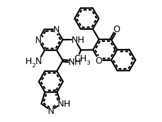 CC(Nc1ncnc(N)c1C(=N)c1ccc2cn[nH]c2c1)c1oc2ccccc2c(=O)c1-c1ccccc1